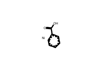 O=C(O)c1ccccc1.[Ni]